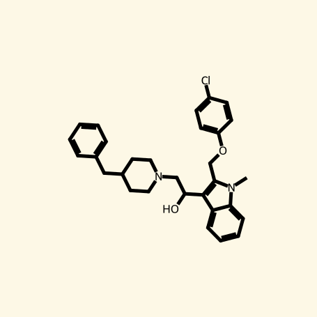 Cn1c(COc2ccc(Cl)cc2)c(C(O)CN2CCC(Cc3ccccc3)CC2)c2ccccc21